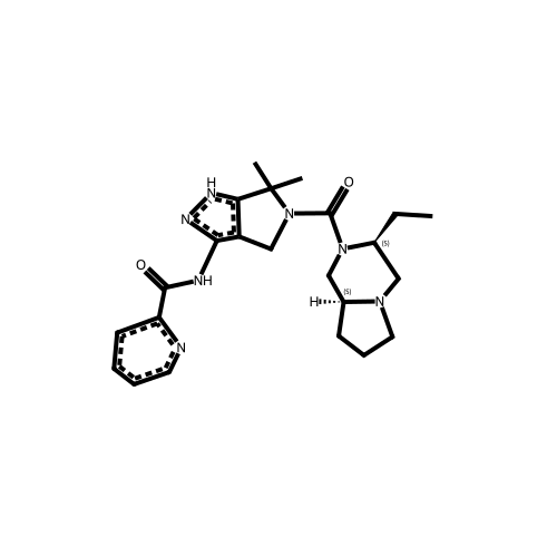 CC[C@H]1CN2CCC[C@H]2CN1C(=O)N1Cc2c(NC(=O)c3ccccn3)n[nH]c2C1(C)C